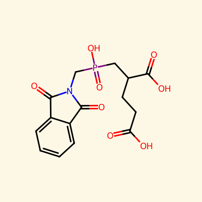 O=C(O)CCC(CP(=O)(O)CN1C(=O)c2ccccc2C1=O)C(=O)O